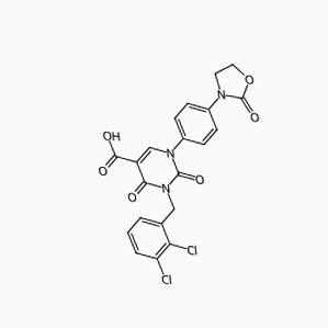 O=C(O)c1cn(-c2ccc(N3CCOC3=O)cc2)c(=O)n(Cc2cccc(Cl)c2Cl)c1=O